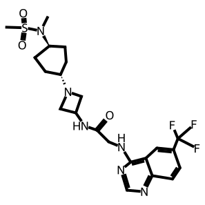 CN([C@H]1CC[C@H](N2CC(NC(=O)CNc3ncnc4ccc(C(F)(F)F)cc34)C2)CC1)S(C)(=O)=O